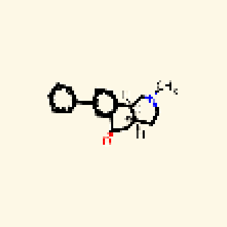 CN1CC[C@@H]2CC(=O)c3cc(-c4ccccc4)ccc3[C@H]2C1